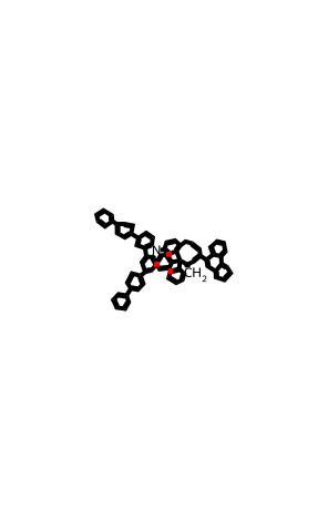 C=C1/C=C(c2cc3ccccc3c3ccccc23)\C=C/Cc2ccc(-n3c4ccc(-c5ccc(-c6ccccc6)cc5)cc4c4cc(-c5ccc(-c6ccccc6)cc5)ccc43)cc2C1(c1ccccc1)c1ccccc1